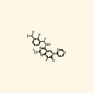 COc1nc(N[C@H](C)c2cccc(C(F)F)c2F)c2cn(-c3ccncn3)c(=O)c(C)c2n1